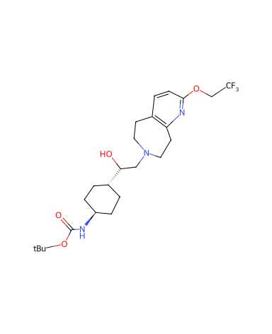 CC(C)(C)OC(=O)N[C@H]1CC[C@H](C(O)CN2CCc3ccc(OCC(F)(F)F)nc3CC2)CC1